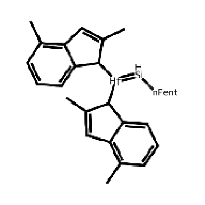 CCCCC[SiH]=[Hf]([CH]1C(C)=Cc2c(C)cccc21)[CH]1C(C)=Cc2c(C)cccc21